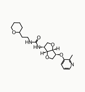 Cc1ncccc1O[C@H]1CO[C@H]2[C@@H]1OC[C@@H]2NC(=O)NCCC1CCCCO1